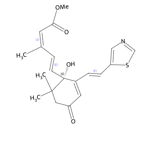 COC(=O)/C=C(C)\C=C\[C@@]1(O)C(/C=C/c2cncs2)=CC(=O)CC1(C)C